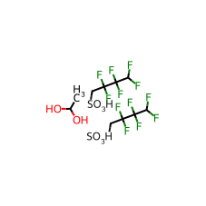 CC(O)O.O=S(=O)(O)CC(F)(F)C(F)(F)C(F)F.O=S(=O)(O)CC(F)(F)C(F)(F)C(F)F